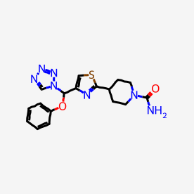 NC(=O)N1CCC(c2nc(C(Oc3ccccc3)n3cnnn3)cs2)CC1